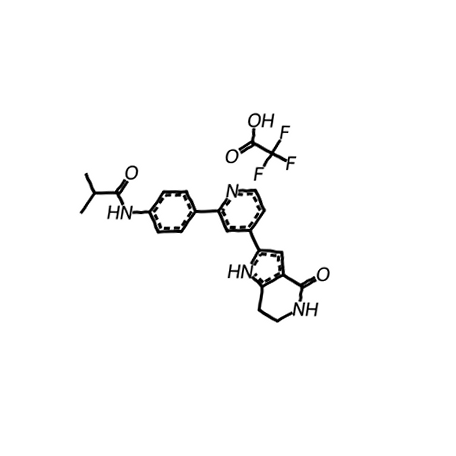 CC(C)C(=O)Nc1ccc(-c2cc(-c3cc4c([nH]3)CCNC4=O)ccn2)cc1.O=C(O)C(F)(F)F